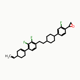 C=CC1CC=C(c2ccc(CCC3CCC(c4ccc(C5CO5)c(F)c4)CC3)c(F)c2F)CC1